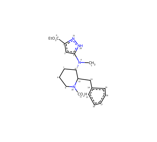 CCOC(=O)c1cc(N(C)[C@H]2CCCN(C(=O)O)C2Cc2ccccc2)[nH]n1